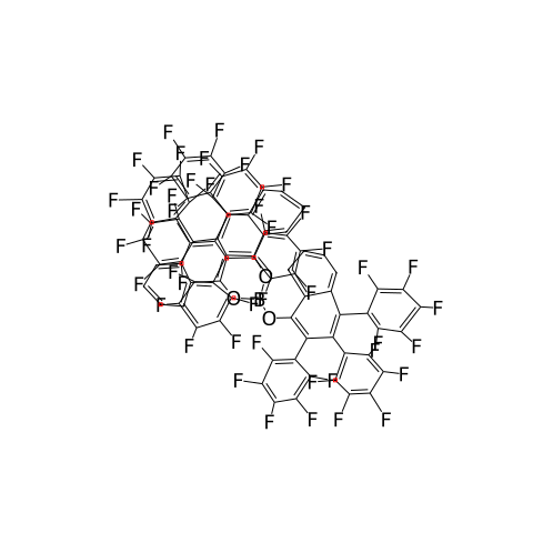 Fc1c(F)c(F)c(-c2c(-c3c(F)c(F)c(F)c(F)c3F)c(-c3c(F)c(F)c(F)c(F)c3F)c3ccccc3c2OB(Oc2c(-c3c(F)c(F)c(F)c(F)c3F)c(-c3c(F)c(F)c(F)c(F)c3F)c(-c3c(F)c(F)c(F)c(F)c3F)c3ccccc23)Oc2c(-c3c(F)c(F)c(F)c(F)c3F)c(-c3c(F)c(F)c(F)c(F)c3F)c(-c3c(F)c(F)c(F)c(F)c3F)c3ccccc23)c(F)c1F